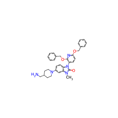 Cn1c(=O)n(-c2ccc(OCc3ccccc3)nc2OCc2ccccc2)c2ccc(N3CCC(CN)CC3)cc21